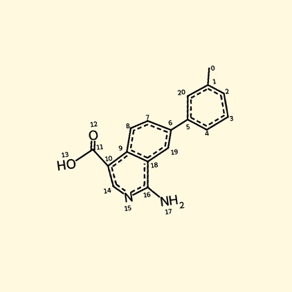 Cc1cccc(-c2ccc3c(C(=O)O)cnc(N)c3c2)c1